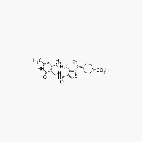 CCC(=C1CCN(C(=O)O)CC1)c1scc(C(=O)NCc2c(C)cc(C)[nH]c2=O)c1C